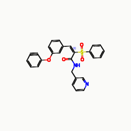 O=C(NCc1cccnc1)/C(=C\c1cccc(Oc2c#cccc2)c1)S(=O)(=O)c1ccccc1